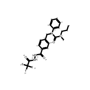 CCCN(C)C(=O)N(Cc1ccc(C(=O)NNC(=O)C(F)(F)F)cc1)c1ccccc1